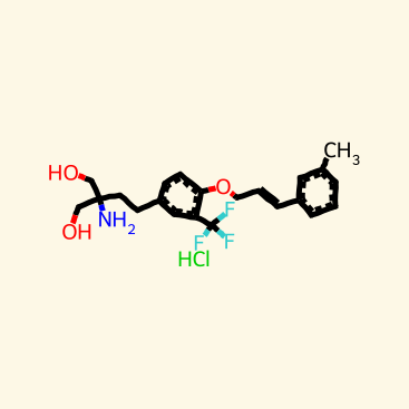 Cc1cccc(C=CCOc2ccc(CCC(N)(CO)CO)cc2C(F)(F)F)c1.Cl